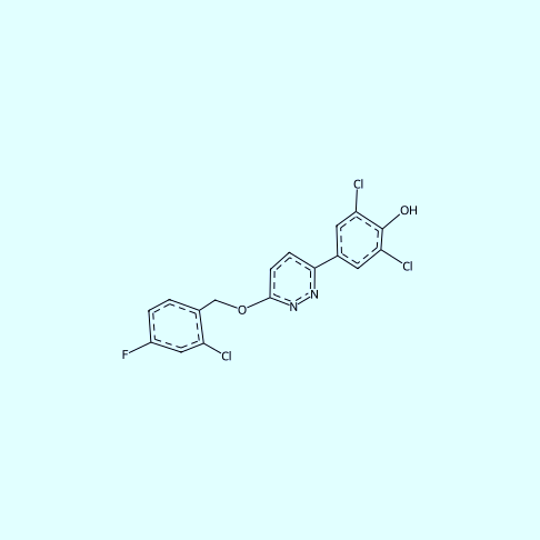 Oc1c(Cl)cc(-c2ccc(OCc3ccc(F)cc3Cl)nn2)cc1Cl